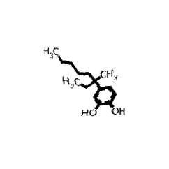 CCCCCC(C)(CC)c1ccc(O)c(O)c1